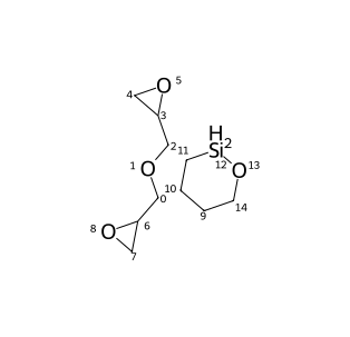 C(OCC1CO1)C1CO1.C1CC[SiH2]OC1